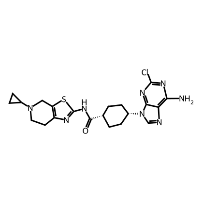 Nc1nc(Cl)nc2c1ncn2[C@H]1CC[C@@H](C(=O)Nc2nc3c(s2)CN(C2CC2)CC3)CC1